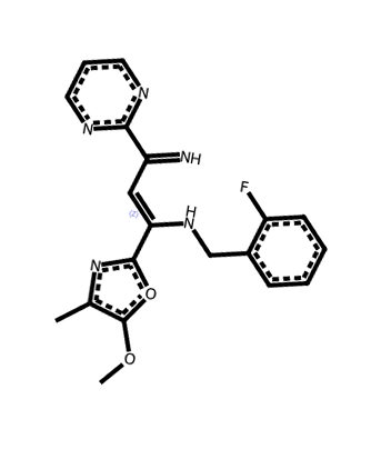 COc1oc(/C(=C/C(=N)c2ncccn2)NCc2ccccc2F)nc1C